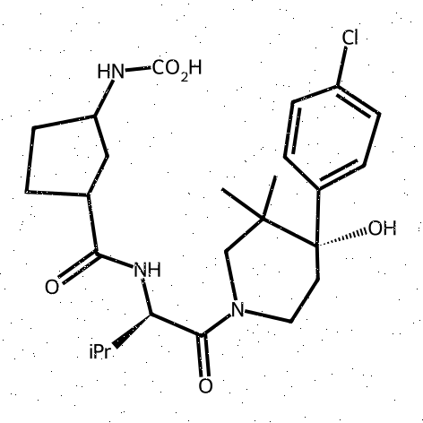 CC(C)[C@@H](NC(=O)C1CCC(NC(=O)O)C1)C(=O)N1CC[C@](O)(c2ccc(Cl)cc2)C(C)(C)C1